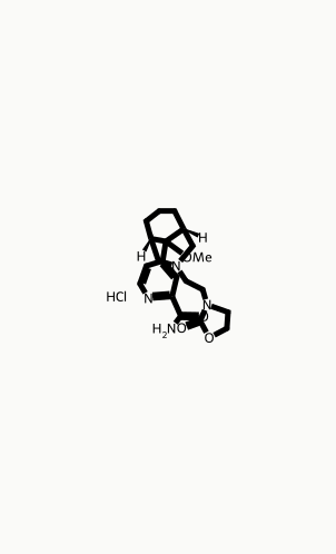 COC1(c2ccnc(C(N)=O)c2)[C@@H]2CCC[C@H]1CN(CCN1CCOC1=O)C2.Cl